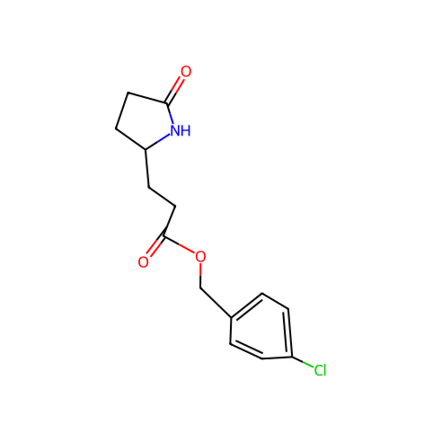 O=C1CCC(CCC(=O)OCc2ccc(Cl)cc2)N1